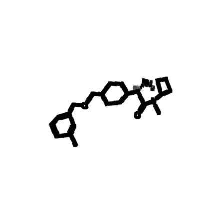 Cc1cccc(COCC2CCC([C@H](N)C(=O)N(C)C3CCC3)CC2)c1